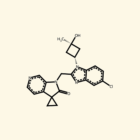 C[C@]1(O)C[C@H](n2c(CN3C(=O)C4(CC4)c4ccncc43)nc3cc(Cl)ccc32)C1